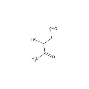 NC(=O)C(S)CC=O